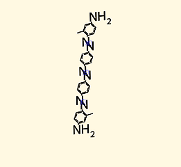 Cc1cc(N)ccc1/N=N/c1ccc(/N=N/c2ccc(/N=N/c3ccc(N)cc3C)cc2)cc1